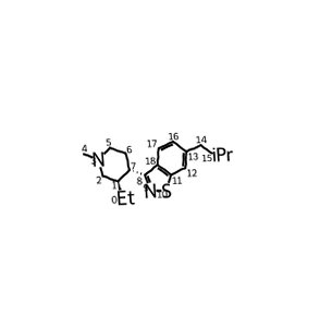 CC[C@H]1CN(C)CC[C@@H]1c1nsc2cc(CC(C)C)ccc12